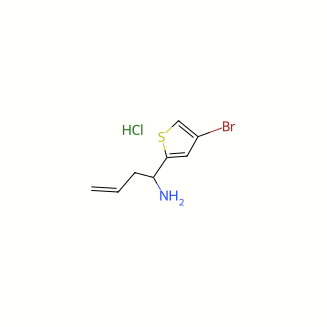 C=CCC(N)c1cc(Br)cs1.Cl